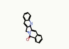 O=c1c2ccccc2cc2n1Cc1cc3ccccc3nc1-2